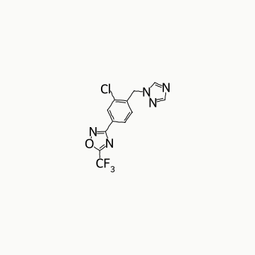 FC(F)(F)c1nc(-c2ccc(Cn3cncn3)c(Cl)c2)no1